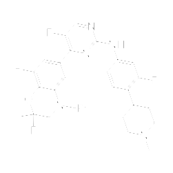 CC(C)N1CC(F)(F)Oc2c(F)cc(-c3nc(Nc4ccc(C5CCN(C)CC5)c(F)c4)ncc3F)cc21